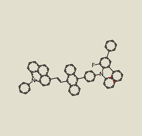 Fc1cc(-c2ccccc2)cc(-c2ccccc2)c1N(c1ccccc1)c1ccc(-c2c3ccccc3c(/C=C/c3ccc4c5c3ccc3cccc(c35)n4-c3ccccc3)c3ccccc23)cc1